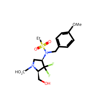 CCS(=O)(=O)N(Cc1ccc(OC)cc1)[C@@H]1CN(C(=O)O)[C@H](CO)C1(F)F